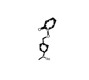 CB(O)c1ccc(COn2ccccc2=O)cc1